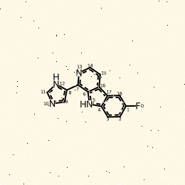 Fc1ccc2[nH]c3c(-c4cnc[nH]4)nccc3c2c1